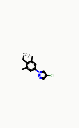 Cc1cc(-n2cc(Cl)cn2)cc(C)c1CC(=O)O